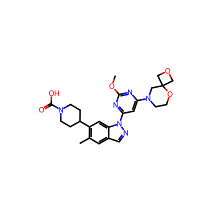 COc1nc(N2CCOC3(COC3)C2)cc(-n2ncc3cc(C)c(C4CCN(C(=O)O)CC4)cc32)n1